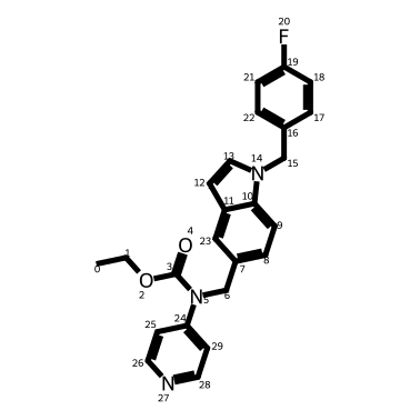 CCOC(=O)N(Cc1ccc2c([c]cn2Cc2ccc(F)cc2)c1)c1ccncc1